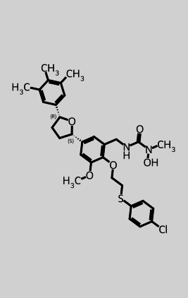 COc1cc([C@@H]2CC[C@H](c3cc(C)c(C)c(C)c3)O2)cc(CNC(=O)N(C)O)c1OCCSc1ccc(Cl)cc1